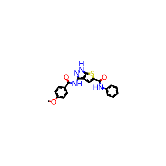 COc1ccc(C(=O)Nc2n[nH]c3sc(C(=O)Nc4ccccc4)cc23)cc1